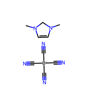 CN1C=CN(C)C1.N#C[B-](C#N)(C#N)C#N